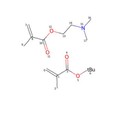 C=C(C)C(=O)OC(C)(C)C.C=C(C)C(=O)OCCN(C)C